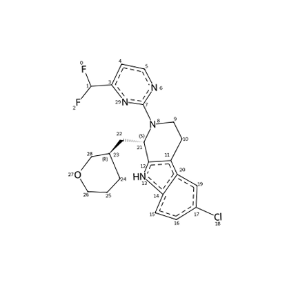 FC(F)c1ccnc(N2CCc3c([nH]c4ccc(Cl)cc34)[C@@H]2C[C@H]2CCCOC2)n1